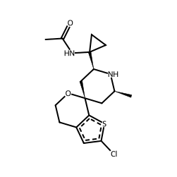 CC(=O)NC1([C@@H]2C[C@]3(C[C@H](C)N2)OCCc2cc(Cl)sc23)CC1